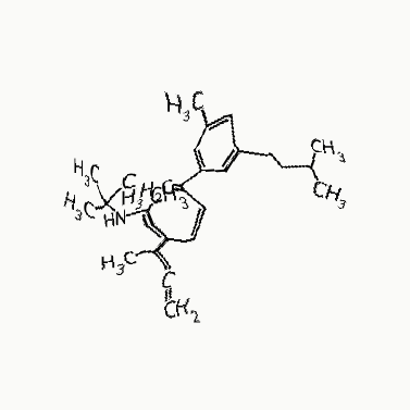 C=C=C(C)C(/C=C\C(=C)c1cc(C)cc(CCC(C)C)c1)=C(/C)NC(C)(C)C